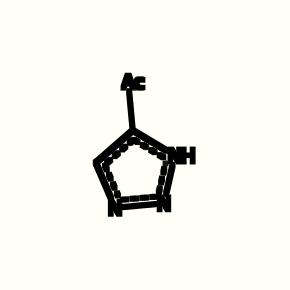 CC(=O)c1cnn[nH]1